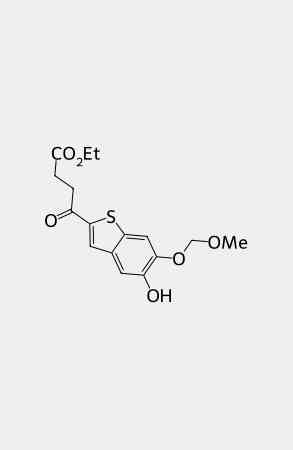 CCOC(=O)CCC(=O)c1cc2cc(O)c(OCOC)cc2s1